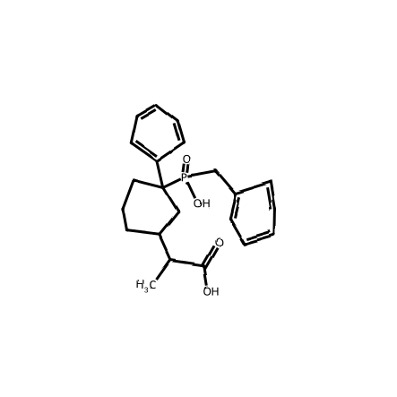 CC(C(=O)O)C1CCCC(c2ccccc2)(P(=O)(O)Cc2ccccc2)C1